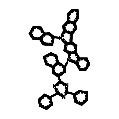 c1ccc(-c2nc(-c3ccccc3)nc(-c3cc(-n4c5ccccc5c5cc6c7cc8ccccc8cc7n(-c7ccc8ccccc8c7)c6cc54)c4ccccc4c3)n2)cc1